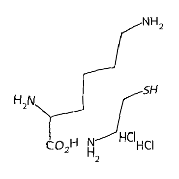 Cl.Cl.NCCCCC(N)C(=O)O.NCCS